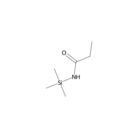 CCC(=O)N[Si](C)(C)C